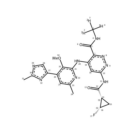 [2H]C([2H])([2H])NC(=O)c1nnc(NC(=O)[C@@H]2C[C@@H]2F)cc1Nc1nc(C)cc(-c2cnn(C)n2)c1OC